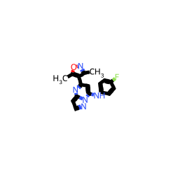 Cc1noc(C)c1-c1cc(Nc2ccc(F)cc2)n2nccc2n1